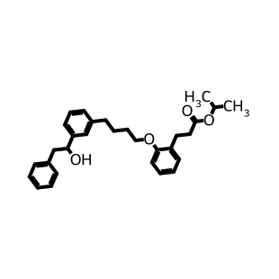 CC(C)OC(=O)CCc1ccccc1OCCCCc1cccc(C(O)Cc2ccccc2)c1